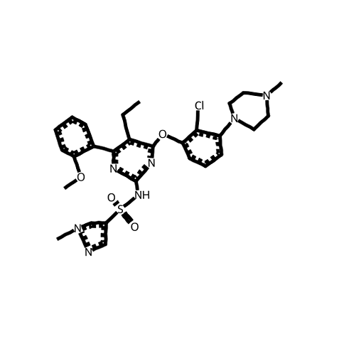 CCc1c(Oc2cccc(N3CCN(C)CC3)c2Cl)nc(NS(=O)(=O)c2cnn(C)c2)nc1-c1ccccc1OC